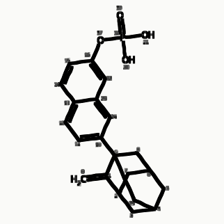 C=C1C2CC3CC(C2)CC1(c1ccc2ccc(OP(=O)(O)O)cc2c1)C3